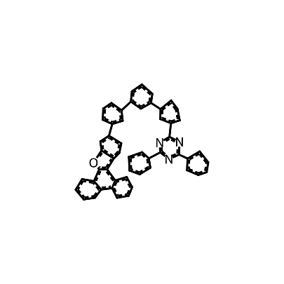 c1ccc(-c2nc(-c3ccccc3)nc(-c3cccc(-c4cccc(-c5cccc(-c6ccc7c(c6)oc6c8ccccc8c8ccccc8c76)c5)c4)c3)n2)cc1